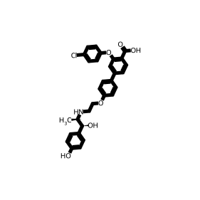 C[C@@H](NCCOc1ccc(-c2ccc(C(=O)O)c(Oc3ccc(Cl)cc3)c2)cc1)[C@H](O)c1ccc(O)cc1